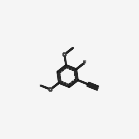 C#Cc1cc(OC)cc(OC)c1F